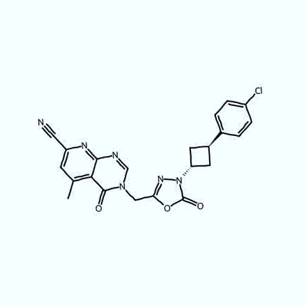 Cc1cc(C#N)nc2ncn(Cc3nn([C@H]4C[C@H](c5ccc(Cl)cc5)C4)c(=O)o3)c(=O)c12